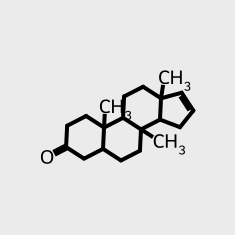 CC12C=CCC1C1(C)CCC3CC(=O)CCC3(C)C1CC2